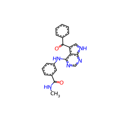 CNC(=O)c1cccc(Nc2ncnc3[nH]cc(C(=O)c4ccccc4)c23)c1